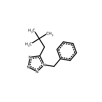 CC(C)(C)Cc1nnnn1Cc1ccccc1